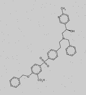 Cc1ccc([C@@H](O)CN(CCc2ccc(S(=O)(=O)c3ccc(OCc4ccccc4)c(C(=O)O)c3)cc2)Cc2ccccc2)cn1